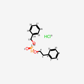 Cl.O=[PH](OCCc1ccccc1)OCc1ccccc1